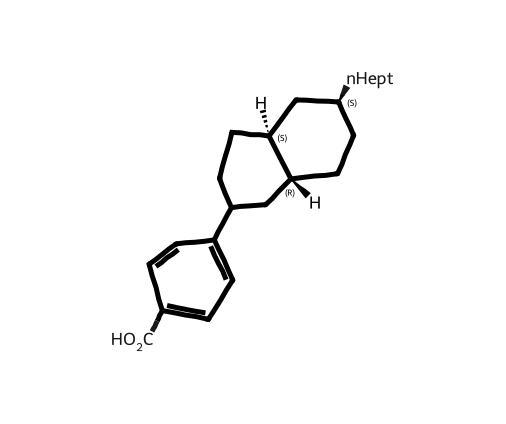 CCCCCCC[C@H]1CC[C@@H]2CC(c3ccc(C(=O)O)cc3)CC[C@H]2C1